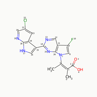 C/C(C(=O)O)=C(\C)n1cc(F)c2cnc(-c3c[nH]c4ncc(Cl)cc34)nc21